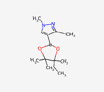 CCC1(C)OB(c2cn(C)nc2C)OC1(C)C